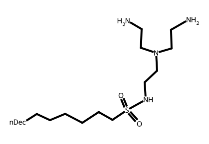 CCCCCCCCCCCCCCCCS(=O)(=O)NCCN(CCN)CCN